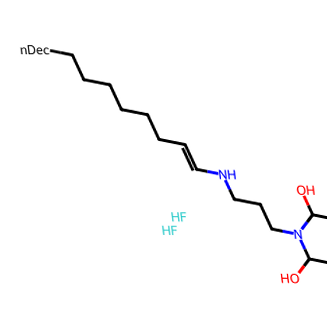 CCCCCCCCCCCCCCCCC=CNCCCN(C(C)O)C(C)O.F.F